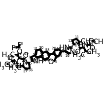 COC(=O)NC(C(=O)N1[C@@H](C)CC[C@H]1c1ncc(-c2ccc3c(c2)COc2cc4c(ccc5cc([C@@H]6CC[C@H](C)N6C(=O)[C@H]([C@@H](C)OC(F)F)N(C)C(=O)OC)[nH]c54)cc2-3)[nH]1)C(C)C